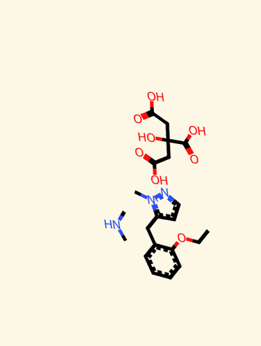 CCOc1ccccc1Cc1ccnn1C.CNC.O=C(O)CC(O)(CC(=O)O)C(=O)O